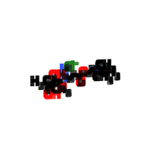 CC(C)(CO)[C@@H](O)C(=O)NCCC(=O)OCC[N+](C)(C)C.[Cl-]